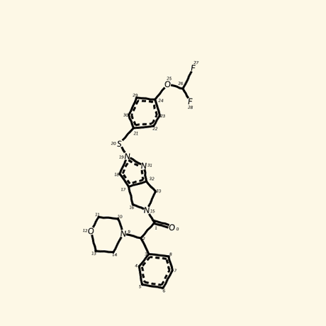 O=C(C(c1ccccc1)N1CCOCC1)N1Cc2cn(Sc3ccc(OC(F)F)cc3)nc2C1